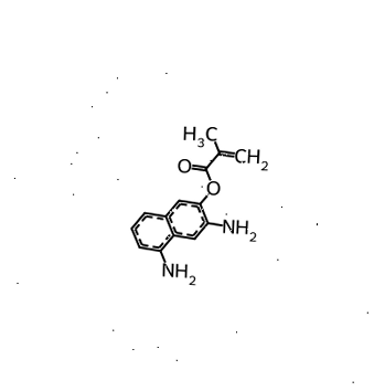 C=C(C)C(=O)Oc1cc2cccc(N)c2cc1N